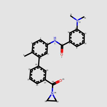 Cc1ccc(NC(=O)c2cccc(N(C)C)c2)cc1-c1cccc(C(=O)N2CC2)c1